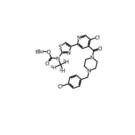 [2H]C([2H])([2H])N(C(=O)OC(C)(C)C)c1nc(-c2cc(C(=O)N3CCN(Cc4ccc(Cl)cc4)CC3)c(Cl)cn2)cs1